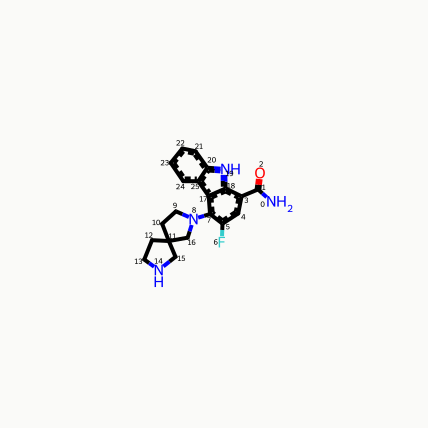 NC(=O)c1cc(F)c(N2CCC3(CCNC3)C2)c2c1[nH]c1ccccc12